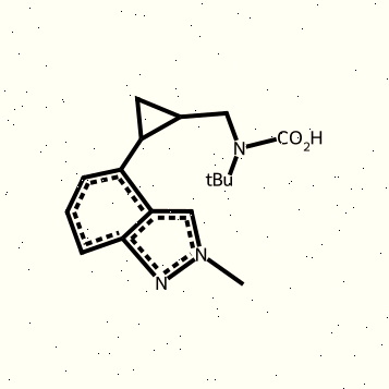 Cn1cc2c(C3CC3CN(C(=O)O)C(C)(C)C)cccc2n1